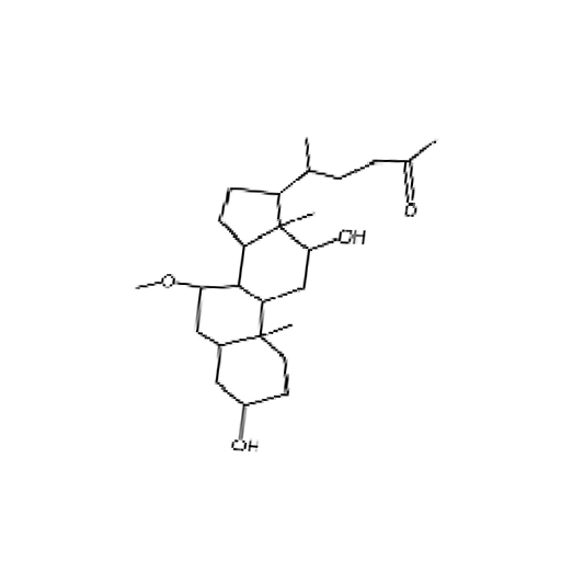 COC1CC2CC(O)CCC2(C)C2CC(O)C3(C)C(C(C)CCC(C)=O)CCC3C12